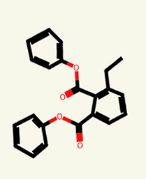 CCc1cccc(C(=O)Oc2ccccc2)c1C(=O)Oc1ccccc1